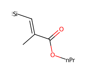 CCCOC(=O)/C(C)=C/[Si]